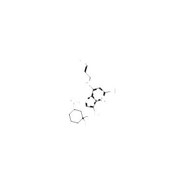 C/C=C/CNc1cc(Cl)nc2c(Br)c([C@H]3[C@H](N)CCCC3(F)F)sc12